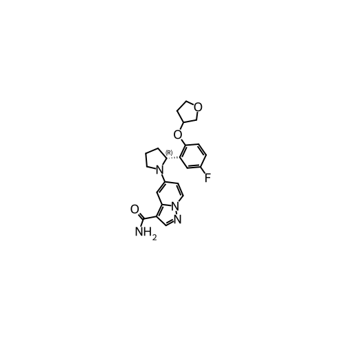 NC(=O)c1cnn2ccc(N3CCC[C@@H]3c3cc(F)ccc3OC3CCOC3)cc12